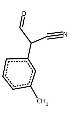 Cc1cccc(C(C#N)C=O)c1